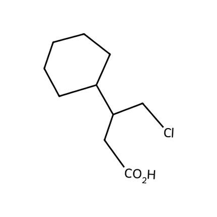 O=C(O)CC(CCl)C1CCCCC1